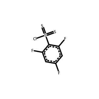 Fc1cc(F)c(S(=S)(=S)Cl)c(F)c1